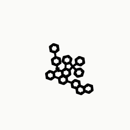 c1ccc(-c2ccc(N(c3ccccc3-c3ccc(-c4ccc5c(ccc6ccccc65)c4)cc3)c3cccc4c3-c3ccccc3C4(c3ccccc3)c3ccccc3)cc2)cc1